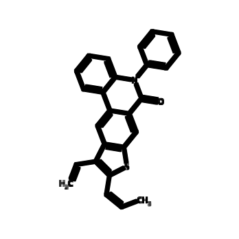 C=Cc1c(/C=C\C)sc2cc3c(=O)n(-c4ccccc4)c4ccccc4c3cc12